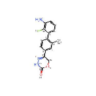 Nc1cccc(-c2ccc(C3=NNC(=O)OC3)cc2C(F)(F)F)c1F